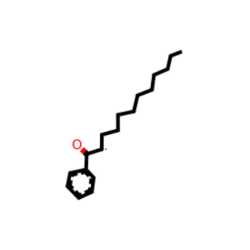 CCCCCCCCCC[CH]C(=O)c1ccccc1